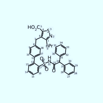 CCCc1nsc(C(=O)O)c1Cc1ccc(-c2ccccc2S(=O)(=O)NC(=O)C(c2ccccc2)c2ccccc2)cc1